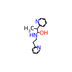 CC(c1ccccn1)C(O)NCCc1ccccn1